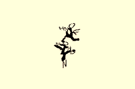 CCC1[C@H](F)C(=O)N[C@@H]1COc1nccc2cc(C#N)c(OC)nc12